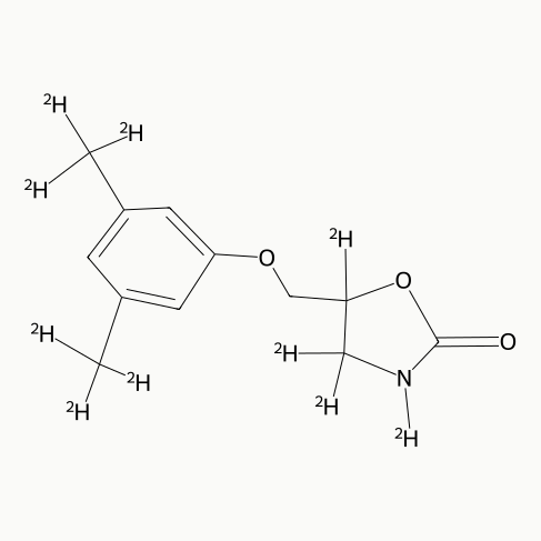 [2H]N1C(=O)OC([2H])(COc2cc(C([2H])([2H])[2H])cc(C([2H])([2H])[2H])c2)C1([2H])[2H]